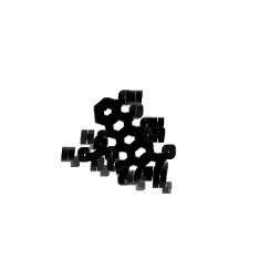 CCC(=O)OC1C2C(=C(O)C3(O)CC(C(N)=O)=C(O)C(N(C)C)C13)C(=O)c1c(O)cccc1C2C